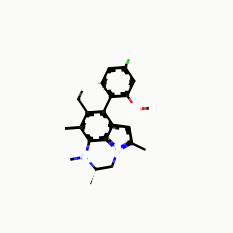 Cc1c(CC(=O)O)c(-c2ccc(Cl)cc2OC(C)(C)C)c2cc(C)n3c2c1N(C)[C@H](C)C3